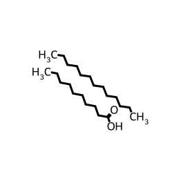 CCCCCCCCCC(=O)O.CCCCCCCCCCCCC